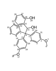 COc1ccc(C(c2ccccc2)(c2ccc(OC)cc2)C(O)c2ccccc2O)cc1